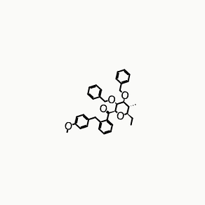 CC[C@H]1O[C@@H](C(=O)c2ccccc2Cc2ccc(OC)cc2)[C@H](OCc2ccccc2)[C@@H](OCc2ccccc2)[C@@H]1C